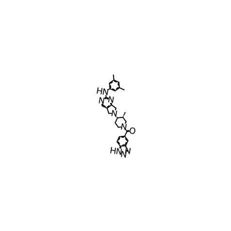 Cc1cc(C)cc(Nc2ncc3c(n2)CN([C@H]2CCN(C(=O)c4ccc5[nH]nnc5c4)C[C@@H]2C)C3)c1